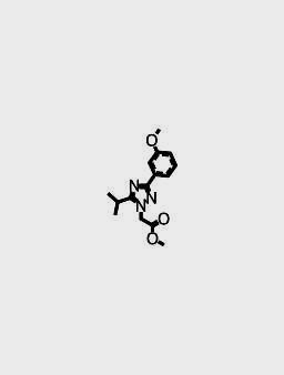 COC(=O)Cn1nc(-c2cccc(OC)c2)nc1C(C)C